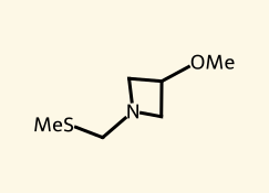 COC1CN(CSC)C1